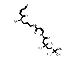 CN(CCCNC(=O)/C=C\NC(=O)CC(C)(C)COC(C)(C)O)C(=O)/C=C\C=O